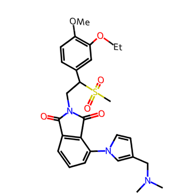 CCOc1cc(C(CN2C(=O)c3cccc(-n4ccc(CN(C)C)c4)c3C2=O)S(C)(=O)=O)ccc1OC